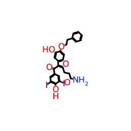 NC(=O)CCc1oc2cc(OCCc3ccccc3)c(O)cc2c1C(=O)c1cc(I)c(O)c(I)c1